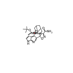 C=C(NC12CC3CC(C1)C(Nc1c(-c4nc(C(N)=O)no4)cnc4[nH]ccc14)C(C3)C2)OC(C)(C)C